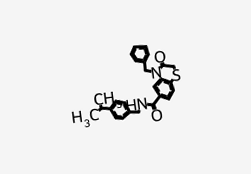 CC(C)c1ccc(CNC(=O)c2ccc3c(c2)N(Cc2ccccc2)C(=O)CS3)cc1